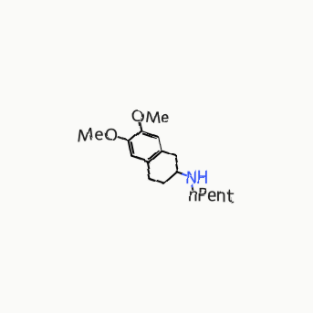 CCCCCNC1CCc2cc(OC)c(OC)cc2C1